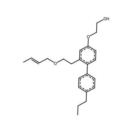 C/C=C/COCCc1cc(OCCO)ccc1-c1ccc(CCC)cc1